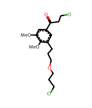 COc1cc(C(=O)CCCl)cc(CCCOCCCCl)c1OC